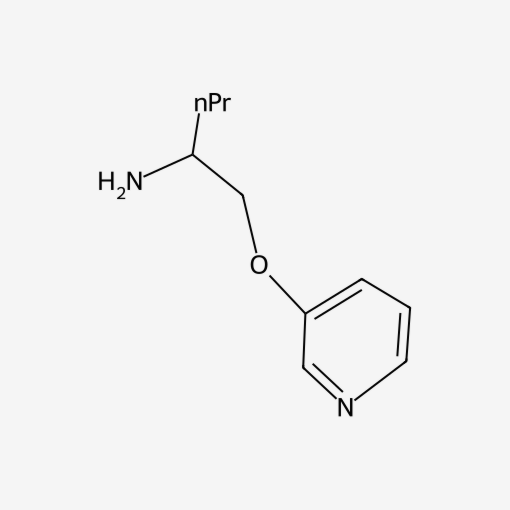 CCCC(N)COc1cccnc1